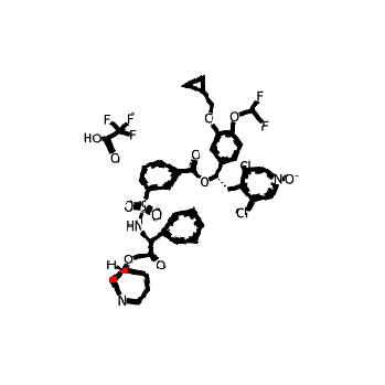 O=C(O)C(F)(F)F.O=C(O[C@@H](Cc1c(Cl)c[n+]([O-])cc1Cl)c1ccc(OC(F)F)c(OCC2CC2)c1)c1cccc(S(=O)(=O)NC(C(=O)O[C@H]2CN3CCC2CC3)c2ccccc2)c1